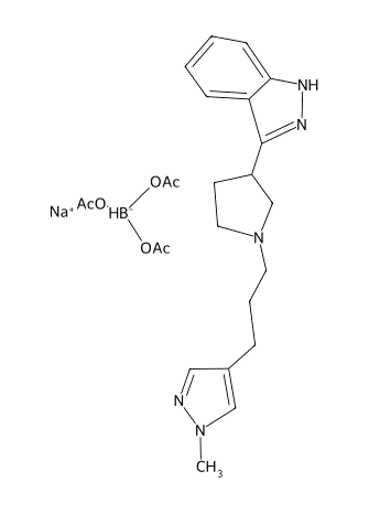 CC(=O)O[BH-](OC(C)=O)OC(C)=O.Cn1cc(CCCN2CCC(c3n[nH]c4ccccc34)C2)cn1.[Na+]